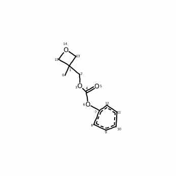 CC1(COC(=O)Oc2ccccc2)COC1